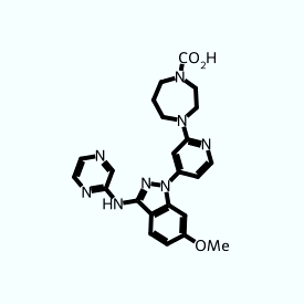 COc1ccc2c(Nc3cnccn3)nn(-c3ccnc(N4CCCN(C(=O)O)CC4)c3)c2c1